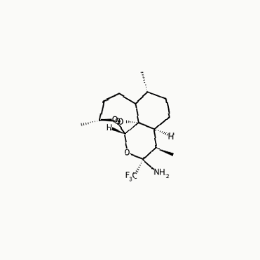 C[C@@H]1CC[C@H]2[C@@H](C)[C@](N)(C(F)(F)F)O[C@@H]3O[C@]4(C)CCC1[C@]32OO4